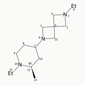 CCN1CC2(C1)CN(C1CCN(CC)[C@H](C)C1)C2